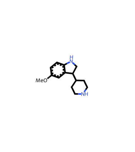 COc1ccc2c(c1)C(C1CCNCC1)CN2